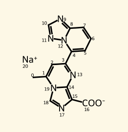 Cc1cc(-c2cccc3ncnn23)nc2c(C(=O)[O-])ncn12.[Na+]